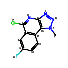 Cn1nnc2nc(Cl)c3cc(F)ccc3c21